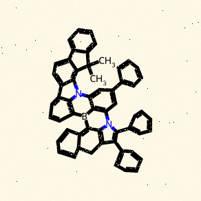 CC1(C)c2ccccc2-c2ccc3c4cccc5c4n(c3c21)-c1cc(-c2ccccc2)cc2c1B5C1=C3C=CC=CC3Cc3c(-c4ccccc4)c(-c4ccccc4)n-2c31